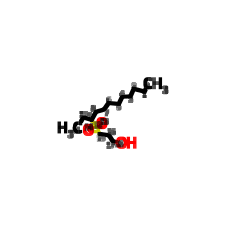 CCCCCCCCCC(CC)S(=O)(=O)CCCO